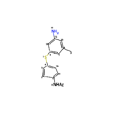 CC(=O)Nc1ccc(Sc2cc(C)cc(N)c2)cc1